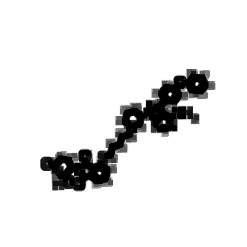 Nc1ncnc2c1c(-c1ccc(Oc3ccccc3)cc1)nn2[C@@H]1CCCN(CCCCCSc2cccc3c2C(=O)N(C2CCC(=O)NC2=O)C3=O)C1